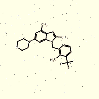 Cc1c(Cn2c(C)nc3c(C)cc(N4CCOCC4)cc32)cccc1C(F)(F)F